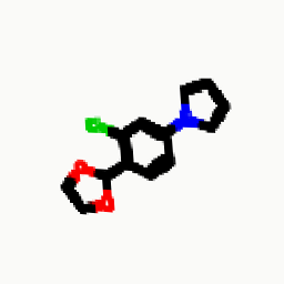 Clc1cc(N2CCCC2)ccc1C1OCCO1